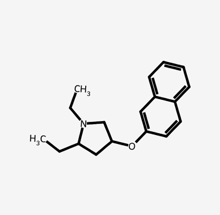 CCC1CC(Oc2ccc3ccccc3c2)CN1CC